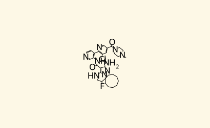 CN1CCN(C(=O)c2cnc(-c3ccncc3NC(=O)c3c(N)nn4c3NCC(F)C43CCCCCCCC3)c(Cl)c2)CC1